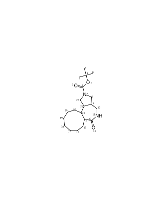 CC(C)(C)OC(=O)N1CC2CNC(=O)C3CCCCCCCC3C2C1